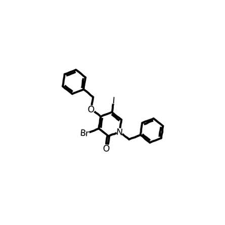 O=c1c(Br)c(OCc2ccccc2)c(I)cn1Cc1ccccc1